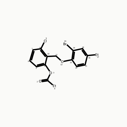 CCC(=O)Oc1cccc(Cl)c1COc1ccc(CC)cc1Br